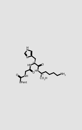 CCCCCC(=O)NCC(=O)N[C@@H](Cc1c[nH]cn1)C(=O)N[C@@H](CCCCN)C(=O)O